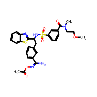 COCCN(C)C(=O)c1cccc(S(=O)(=O)NC(Cc2cccc(/C(N)=N\OC(C)=O)c2)c2nc3ccccc3s2)c1